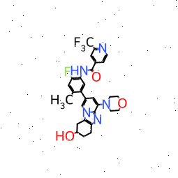 Cc1cc(F)c(NC(=O)c2ccnc(C(F)(F)F)c2)cc1-c1cc(N2CCOCC2)c2nc3c(n2c1)CC(O)CC3